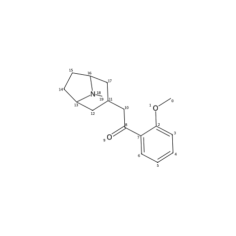 COc1ccccc1C(=O)CC1CC2CCC(C1)N2C